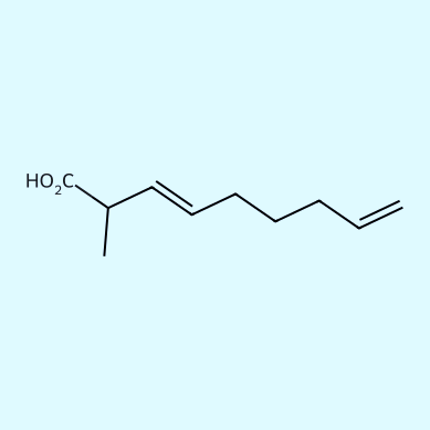 C=CCCC/C=C/C(C)C(=O)O